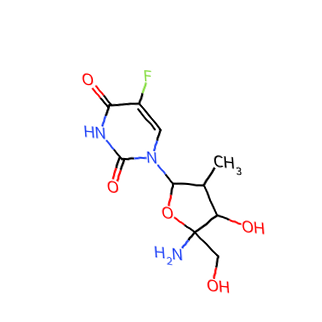 CC1C(n2cc(F)c(=O)[nH]c2=O)OC(N)(CO)C1O